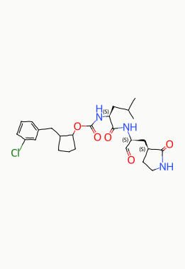 CC(C)C[C@H](NC(=O)OC1CCCC1Cc1cccc(Cl)c1)C(=O)N[C@H](C=O)C[C@@H]1CCNC1=O